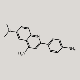 CN(C)c1ccc2nc(-c3ccc(N)cc3)cc(N)c2c1